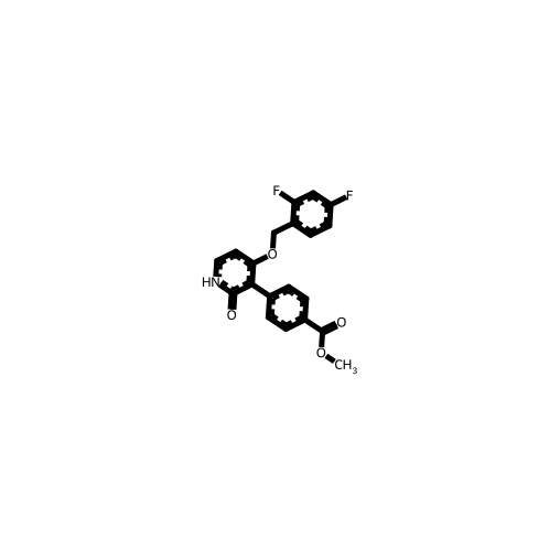 COC(=O)c1ccc(-c2c(OCc3ccc(F)cc3F)cc[nH]c2=O)cc1